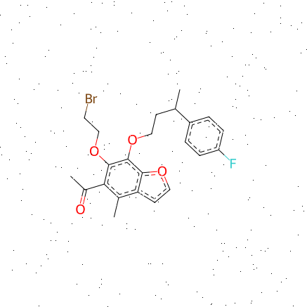 CC(=O)c1c(OCCBr)c(OCCC(C)c2ccc(F)cc2)c2occc2c1C